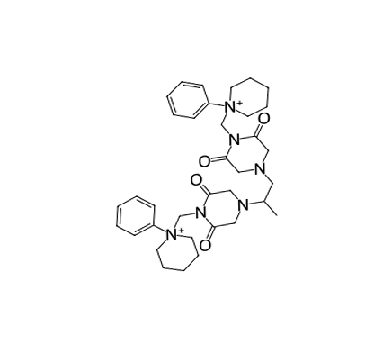 CC(CN1CC(=O)N(C[N+]2(c3ccccc3)CCCCC2)C(=O)C1)N1CC(=O)N(C[N+]2(c3ccccc3)CCCCC2)C(=O)C1